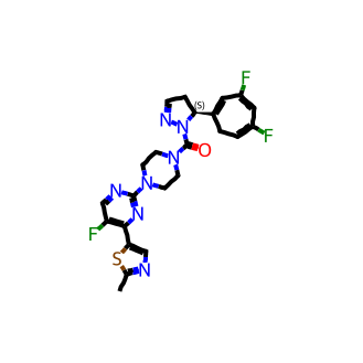 Cc1ncc(-c2nc(N3CCN(C(=O)N4N=CC[C@H]4C4=CC(F)=CC(F)=CC4)CC3)ncc2F)s1